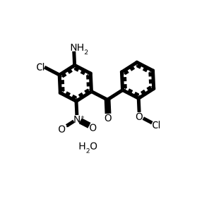 Nc1cc(C(=O)c2ccccc2OCl)c([N+](=O)[O-])cc1Cl.O